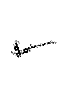 CCCOCCOCCOCCOCCC(=O)NCc1ccc(Cn2nc(-c3ccc4oc(N)nc4c3)c3c(N)ncnc32)cc1